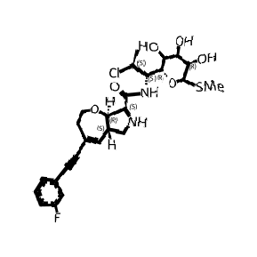 CSC1O[C@H]([C@H](NC(=O)[C@H]2NC[C@@H]3C=C(C#Cc4cccc(F)c4)CCO[C@@H]23)[C@H](C)Cl)C(O)C(O)[C@H]1O